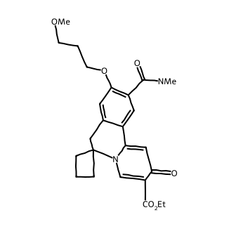 CCOC(=O)c1cn2c(cc1=O)-c1cc(C(=O)NC)c(OCCCOC)cc1CC21CCC1